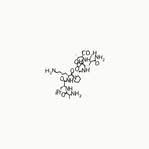 CC(C)C[C@H](NC(=O)[C@H](C)N)C(=O)N[C@@H](CCCCN)C(=O)N1CCC[C@H]1C(=O)N[C@@H](CCC(N)=O)C(=O)N[C@H](C(=O)O)[C@@H](C)O